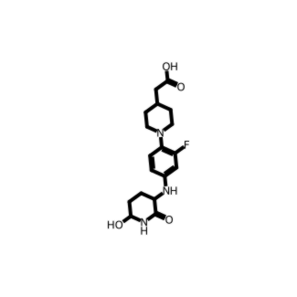 O=C(O)CC1CCN(c2ccc(NC3CCC(O)NC3=O)cc2F)CC1